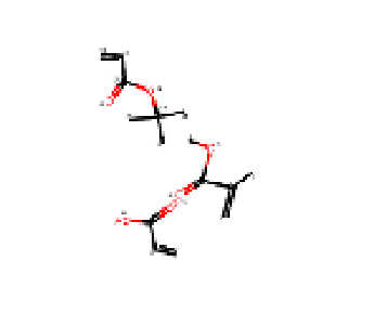 C=C(C)C(=O)OC.C=CC(=O)O.C=CC(=O)OC(C)(C)C